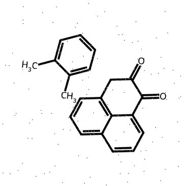 Cc1ccccc1C.O=C1Cc2cccc3cccc(c23)C1=O